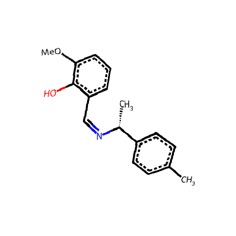 COc1cccc(/C=N\[C@H](C)c2ccc(C)cc2)c1O